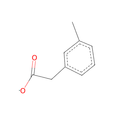 Cc1cccc(CC([O])=O)c1